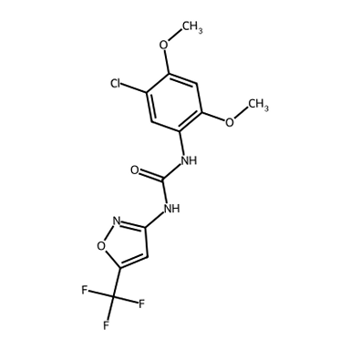 COc1cc(OC)c(NC(=O)Nc2cc(C(F)(F)F)on2)cc1Cl